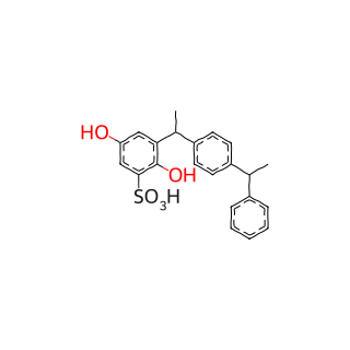 CC(c1ccccc1)c1ccc(C(C)c2cc(O)cc(S(=O)(=O)O)c2O)cc1